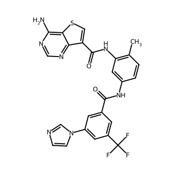 Cc1ccc(NC(=O)c2cc(-n3ccnc3)cc(C(F)(F)F)c2)cc1NC(=O)c1csc2c(N)ncnc12